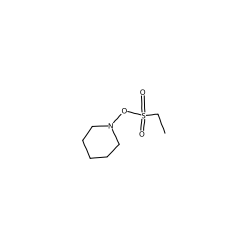 CCS(=O)(=O)ON1CCCCC1